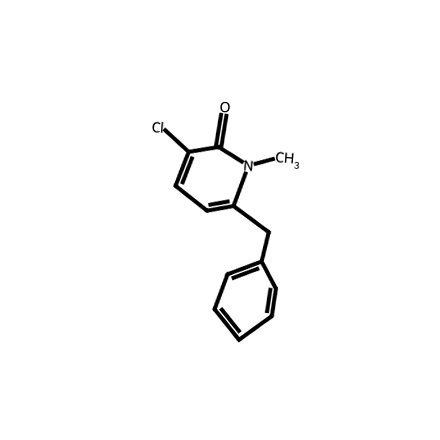 Cn1c(Cc2ccccc2)ccc(Cl)c1=O